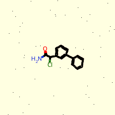 NC(=O)C(Cl)c1cccc(-c2ccccc2)c1